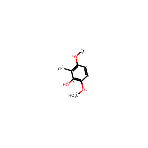 CCCc1c(OCC)ccc(OC(=O)O)c1O